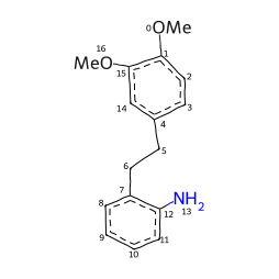 COc1ccc(CCc2ccccc2N)cc1OC